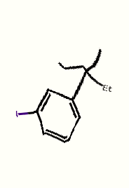 CCC(C)(C)c1cccc(I)c1